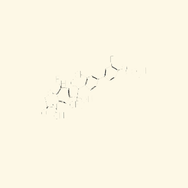 CC(c1ccc(-c2ccc(OC(=O)O)c(F)c2)cc1Cl)C(O)(c1cc(F)c2c(c1)N(C)C(=O)CO2)C(F)(F)F